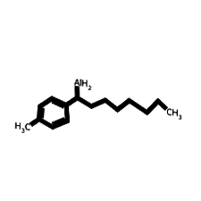 CCCCCCC[CH]([AlH2])c1ccc(C)cc1